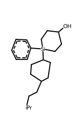 CC(C)CCC1CCC([Si]2(c3ccccc3)CCC(O)CC2)CC1